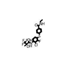 CCNC(=O)c1ccc(Sc2ccc(NC(=O)C(C)(O)C(F)(F)F)c(Cl)c2F)cc1